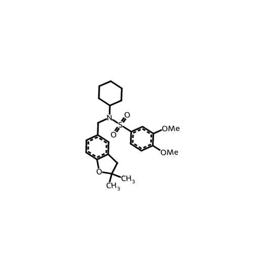 COc1ccc(S(=O)(=O)N(Cc2ccc3c(c2)CC(C)(C)O3)C2CCCCC2)cc1OC